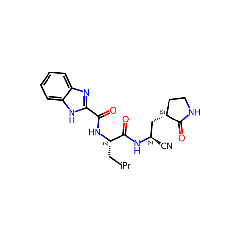 CC(C)C[C@H](NC(=O)c1nc2ccccc2[nH]1)C(=O)N[C@H](C#N)C[C@@H]1CCNC1=O